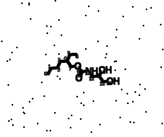 CCCCC(CC)COC(=O)NCC(O)CO